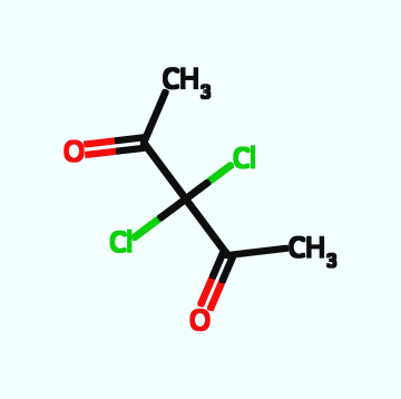 CC(=O)C(Cl)(Cl)C(C)=O